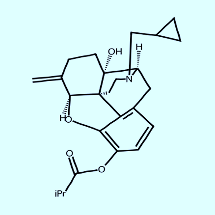 C=C1CC[C@@]2(O)[C@H]3Cc4ccc(OC(=O)C(C)C)c5c4[C@@]2(CCN3CC2CC2)[C@H]1O5